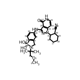 COCC(C)(C)N1Cc2cc(Nc3nn(C4CCCCC4C#N)c4cc[nH]c(=O)c34)ccc2S1(O)O